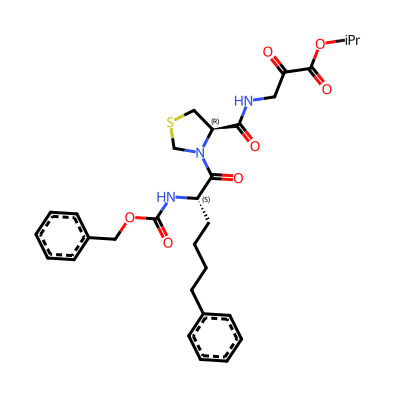 CC(C)OC(=O)C(=O)CNC(=O)[C@@H]1CSCN1C(=O)[C@H](CCCCc1ccccc1)NC(=O)OCc1ccccc1